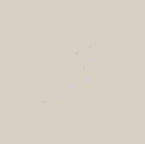 COCCN1CC[C@@H](Nc2cccc3c2cc(C#CCNc2ccc(C(=O)O)cc2OC)n3CC(F)(F)F)[C@@H](F)C1